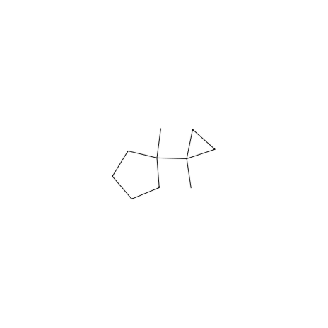 CC1(C2(C)CC2)CCCC1